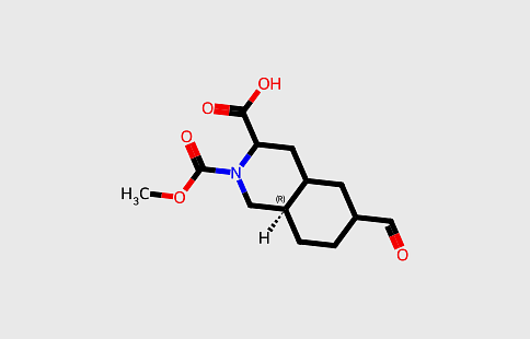 COC(=O)N1C[C@@H]2CCC(C=O)CC2CC1C(=O)O